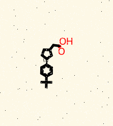 CC(C)(C)c1ccc([C@H]2CCC(CC(=O)O)C2)cc1